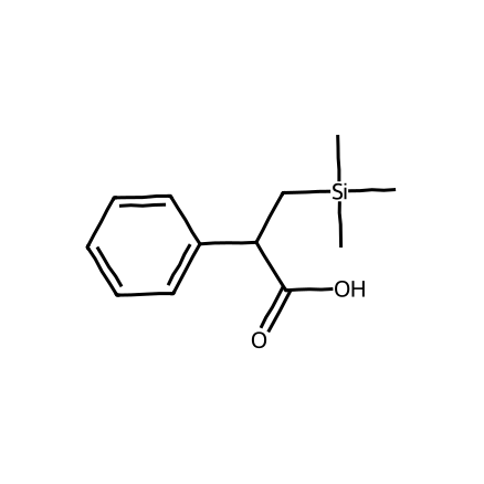 C[Si](C)(C)CC(C(=O)O)c1ccccc1